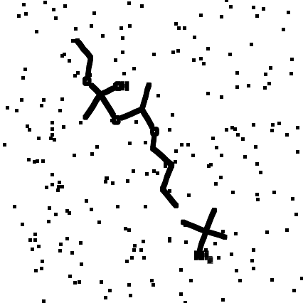 CC(C)(C)N.CCCCOC(C)OC(C)(O)OCC